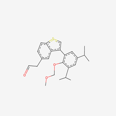 COCOc1c(-c2csc3ccc(CC=O)cc23)cc(C(C)C)cc1C(C)C